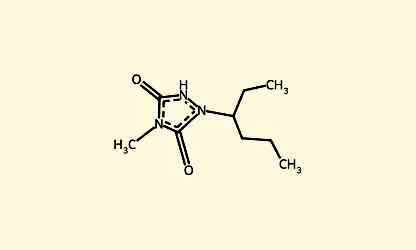 CCCC(CC)n1[nH]c(=O)n(C)c1=O